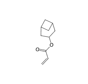 C=CC(=O)OC1CC2CC(C2)C1